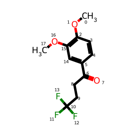 COc1ccc(C(=O)CCC(F)(F)F)cc1OC